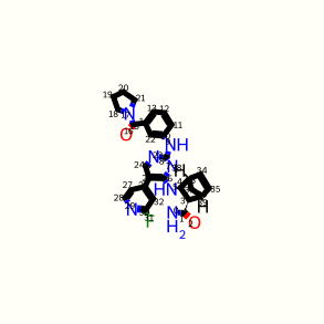 NC(=O)[C@@H]1[C@H](Nc2nc(Nc3cccc(C(=O)N4CCCC4)c3)ncc2-c2ccnc(F)c2)[C@H]2C=C[C@@H]1C2